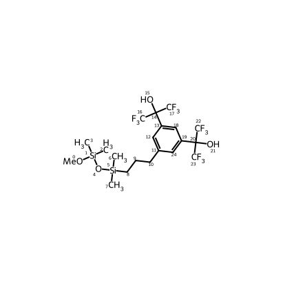 CO[Si](C)(C)O[Si](C)(C)CCCc1cc(C(O)(C(F)(F)F)C(F)(F)F)cc(C(O)(C(F)(F)F)C(F)(F)F)c1